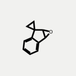 c1ccc2c(c1)C1OC1C21CC1